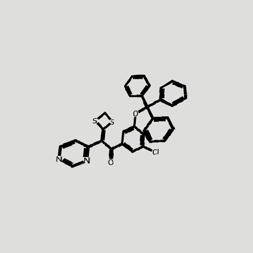 O=C(C(=C1SCS1)c1ccncn1)c1cc(Cl)cc(OC(c2ccccc2)(c2ccccc2)c2ccccc2)c1